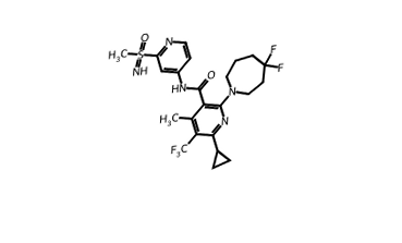 Cc1c(C(=O)Nc2ccnc(S(C)(=N)=O)c2)c(N2CCCC(F)(F)CC2)nc(C2CC2)c1C(F)(F)F